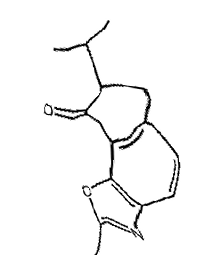 Cc1nc2ccc3c(c2o1)C(=O)C(C(C)C)C3